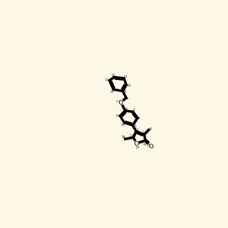 CC1=C(c2ccc(OCc3ccccc3)cc2)C(C)OC1=O